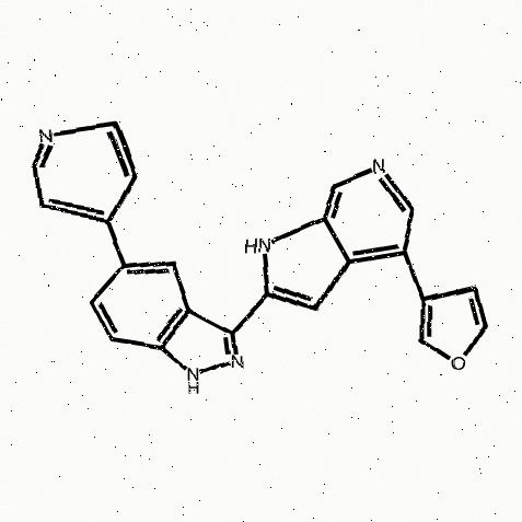 c1cc(-c2ccc3[nH]nc(-c4cc5c(-c6ccoc6)cncc5[nH]4)c3c2)ccn1